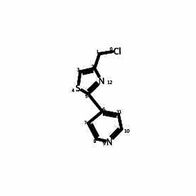 ClCc1csc(-c2ccncc2)n1